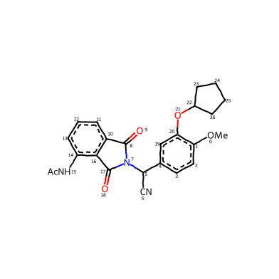 COc1ccc(C(C#N)N2C(=O)c3cccc(NC(C)=O)c3C2=O)cc1OC1CCCC1